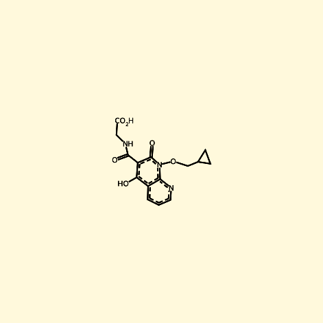 O=C(O)CNC(=O)c1c(O)c2cccnc2n(OCC2CC2)c1=O